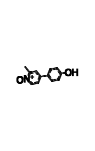 Cc1cc(-c2ccc(O)cc2)cc[n+]1[O-]